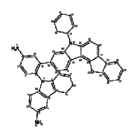 Nc1ccc(-n2c3c(c4cc(N)ccc42)CCC=C3)c(-c2ccc3c4c5oc6ccccc6c5ccc4n(C4C=CC=CC4)c3c2)c1